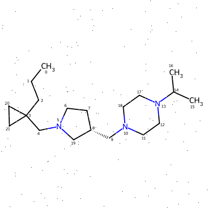 CCCC1(CN2CC[C@H](CN3CCN(C(C)C)CC3)C2)CC1